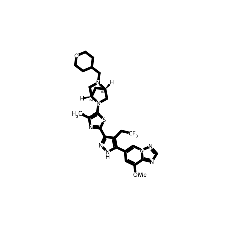 COc1cc(-c2[nH]nc(-c3nc(C)c(N4C[C@@H]5C[C@H]4CN5CC4CCOCC4)s3)c2CC(F)(F)F)cn2ncnc12